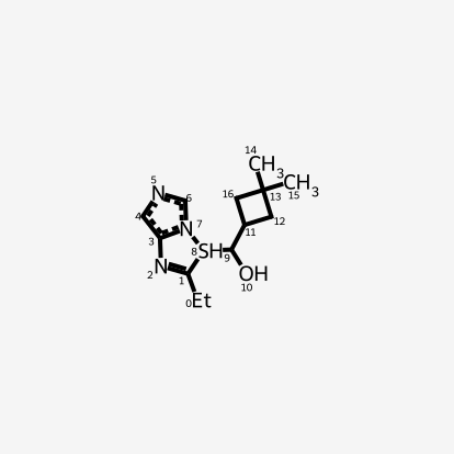 CCC1=Nc2cncn2[SH]1C(O)C1CC(C)(C)C1